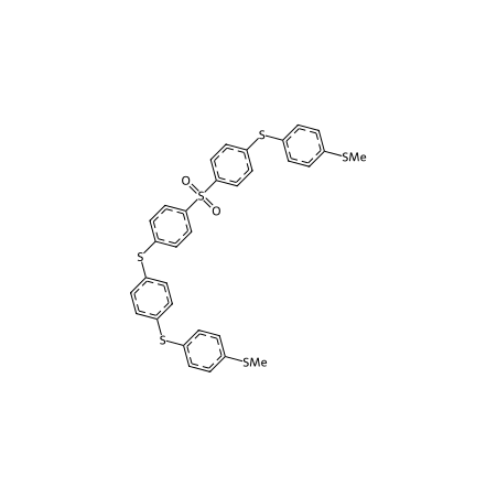 CSc1ccc(Sc2ccc(Sc3ccc(S(=O)(=O)c4ccc(Sc5ccc(SC)cc5)cc4)cc3)cc2)cc1